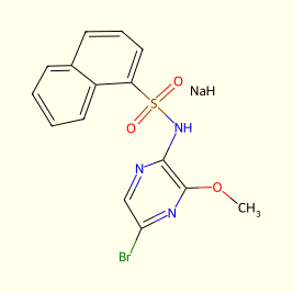 COc1nc(Br)cnc1NS(=O)(=O)c1cccc2ccccc12.[NaH]